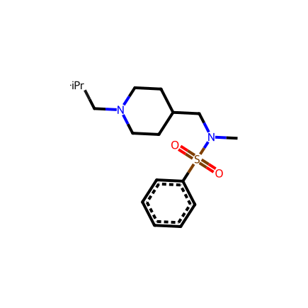 C[C](C)CN1CCC(CN(C)S(=O)(=O)c2ccccc2)CC1